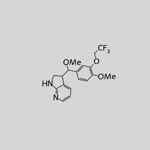 COc1ccc(C(OC)C2CNc3ncccc32)cc1OCC(F)(F)F